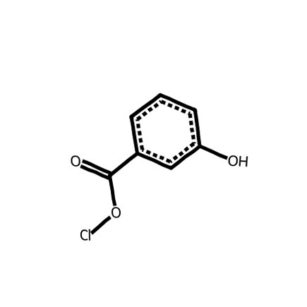 O=C(OCl)c1cccc(O)c1